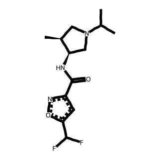 CC(C)N1C[C@H](C)[C@H](NC(=O)c2cc(C(F)F)on2)C1